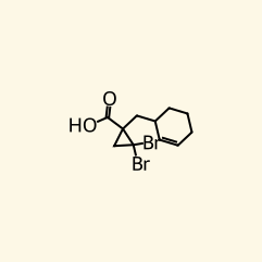 O=C(O)C1(CC2C=CCCC2)CC1(Br)Br